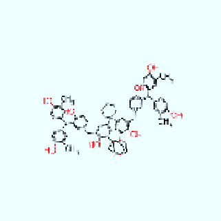 Cc1cc(C(c2ccc(O)c(C)c2)c2cc(Cc3cc(C4(c5cc(Cc6ccc(O)c(C(c7ccc(O)c(C)c7)c7ccc(O)c(C)c7)c6)c(O)c(C6CCCCC6)c5)CCCCC4)cc(C4CCCCC4)c3O)ccc2O)ccc1O